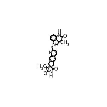 CN1C(=O)NC(=O)[C@]12Cc1cc3ccc(CN4CC5(C)CC(=O)Nc6cccc4c65)nc3cc1C2